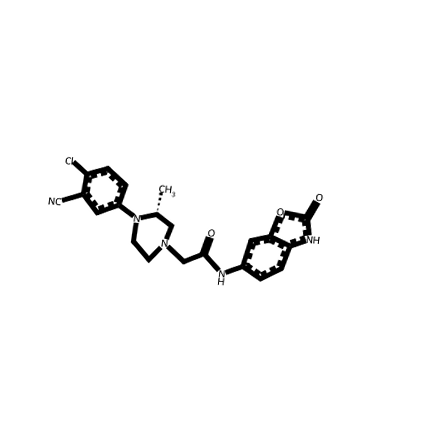 C[C@@H]1CN(CC(=O)Nc2ccc3[nH]c(=O)oc3c2)CCN1c1ccc(Cl)c(C#N)c1